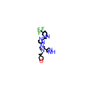 FC(F)(F)c1ccc2ncc(-c3nccc(N4CCN(CC5CC56CCOCC6)C(c5cn[nH]c5)C4)n3)n2c1